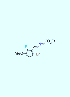 CCOC(=O)/C=N/C=Cc1c(Br)ccc(OC)c1F